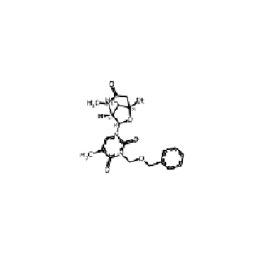 CC[C@]12CC(=O)N(C)[C@H](C1C)[C@H](n1cc(C)c(=O)n(COCc3ccccc3)c1=O)O2